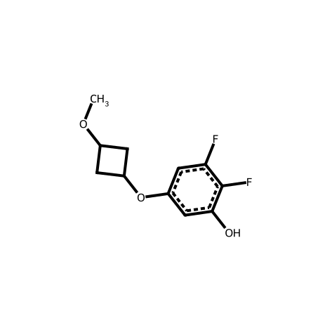 COC1CC(Oc2cc(O)c(F)c(F)c2)C1